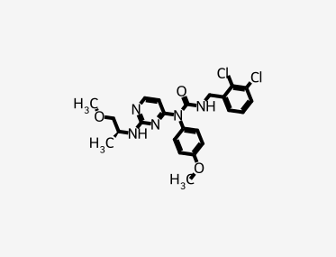 COC[C@H](C)Nc1nccc(N(C(=O)NCc2cccc(Cl)c2Cl)c2ccc(OC)cc2)n1